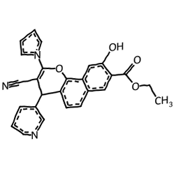 CCOC(=O)c1cc2ccc3c(c2cc1O)OC(n1cccc1)=C(C#N)C3c1cccnc1